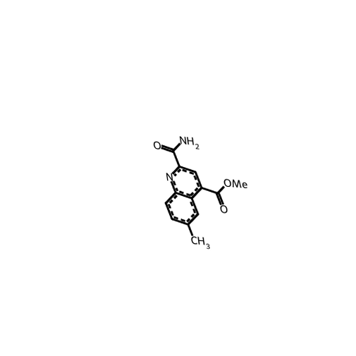 COC(=O)c1cc(C(N)=O)nc2ccc(C)cc12